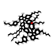 CCCCCCCCC1(CCCCCCCC)c2cc3c(cc2-c2cc4c(cc21)N(c1ccc(CCCC)cc1)c1ccc(C)cc1C4(c1ccc(CCCCCC)cc1)c1ccc(CCCCCC)cc1)C(c1ccc(CCCCCC)cc1)(c1ccc(CCCCCC)cc1)c1cc(C)ccc1N3c1ccc(CCCC)cc1